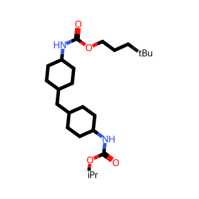 CC(C)OC(=O)NC1CCC(CC2CCC(NC(=O)OCCCC(C)(C)C)CC2)CC1